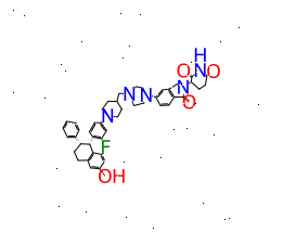 O=C1CCC(N2Cc3cc(N4CCN(CC5CCN(c6ccc([C@@H]7c8ccc(O)cc8CC[C@@H]7c7ccccc7)c(F)c6)CC5)CC4)ccc3C2=O)C(=O)N1